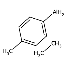 CC.Cc1cc[c]([AlH2])cc1